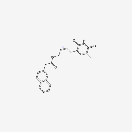 Cc1cn(C/C=C\CNC(=O)Cc2ccc3ccccc3c2)c(=O)[nH]c1=O